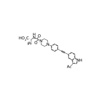 CC(=O)c1c[nH]c2ccc(C#Cc3ccc(N4CCN(S(=O)(=O)N[C@@H](C(=O)O)C(C)C)CC4)cc3)cc12